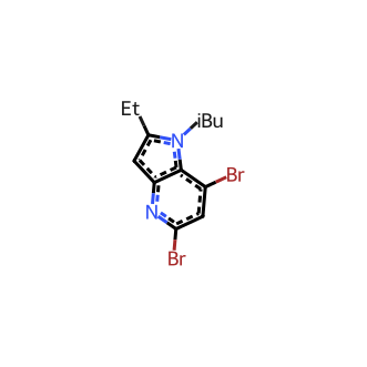 CCc1cc2nc(Br)cc(Br)c2n1C(C)CC